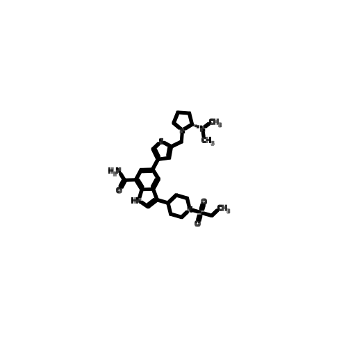 CCS(=O)(=O)N1CCC(c2c[nH]c3c(C(N)=O)cc(-c4csc(CN5CCC[C@@H]5N(C)C)c4)cc23)CC1